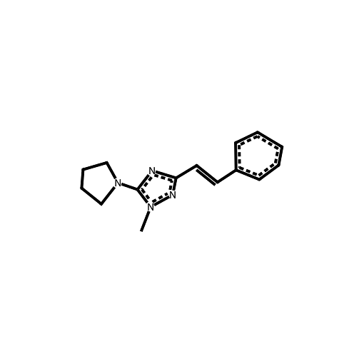 Cn1nc(/C=C/c2ccccc2)nc1N1CCCC1